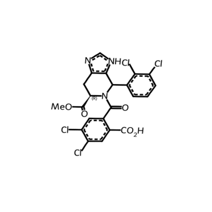 COC(=O)[C@H]1Cc2nc[nH]c2C(c2cccc(Cl)c2Cl)N1C(=O)c1cc(Cl)c(Cl)cc1C(=O)O